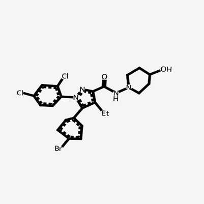 CCc1c(C(=O)NN2CCC(O)CC2)nn(-c2ccc(Cl)cc2Cl)c1-c1ccc(Br)cc1